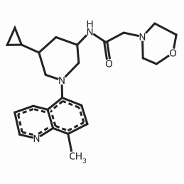 Cc1ccc(N2CC(NC(=O)CN3CCOCC3)CC(C3CC3)C2)c2cccnc12